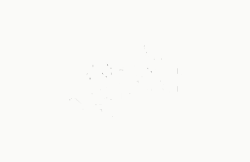 CC(C)(C)N(C(=O)O)c1ccc(C(c2ccccc2)(n2cccn2)C(F)(F)F)cc1